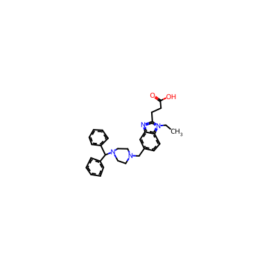 CCn1c(CCC(=O)O)nc2cc(CN3CCN(C(c4ccccc4)c4ccccc4)CC3)ccc21